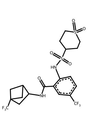 O=C(NC1CC2(C(F)(F)F)CC1C2)c1cc(C(F)(F)F)ccc1NS(=O)(=O)C1CCS(=O)(=O)CC1